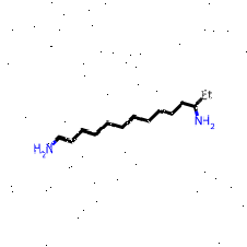 CCC(N)CCCCCCCCCCCN